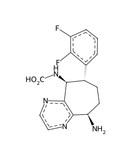 N[C@@H]1CC[C@@H](c2cccc(F)c2F)[C@H](NC(=O)O)c2nccnc21